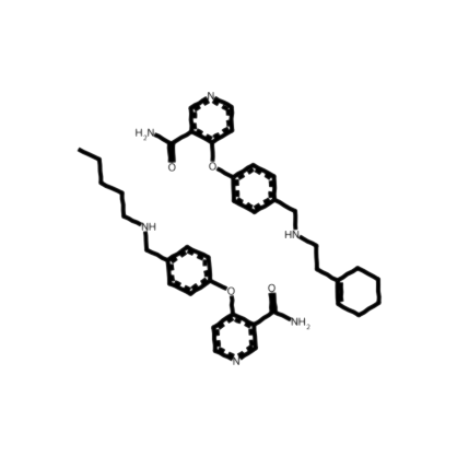 CCCCCNCc1ccc(Oc2ccncc2C(N)=O)cc1.NC(=O)c1cnccc1Oc1ccc(CNCCC2=CCCCC2)cc1